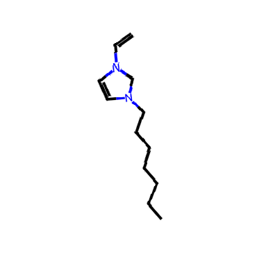 C=CN1C=CN(CCCCCCC)C1